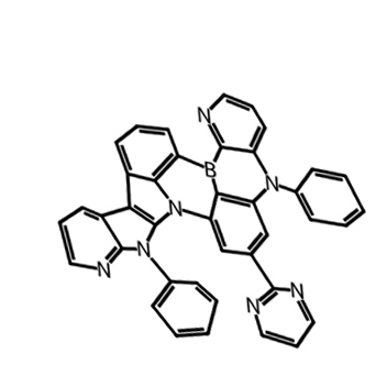 c1ccc(N2c3cccnc3B3c4c2cc(-c2ncccn2)cc4-n2c4c3cccc4c3c4cccnc4n(-c4ccccc4)c32)cc1